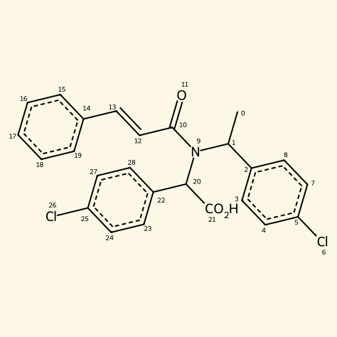 CC(c1ccc(Cl)cc1)N(C(=O)C=Cc1ccccc1)C(C(=O)O)c1ccc(Cl)cc1